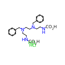 Cl.Cl.O=C(O)NCCN(CCN(CCNC(=O)O)Cc1ccccc1)Cc1ccccc1